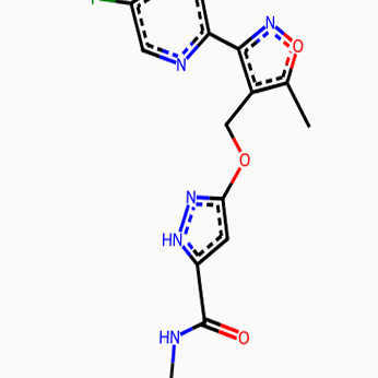 Cc1onc(-c2ccc(F)cn2)c1COc1cc(C(=O)NC(C)C)[nH]n1